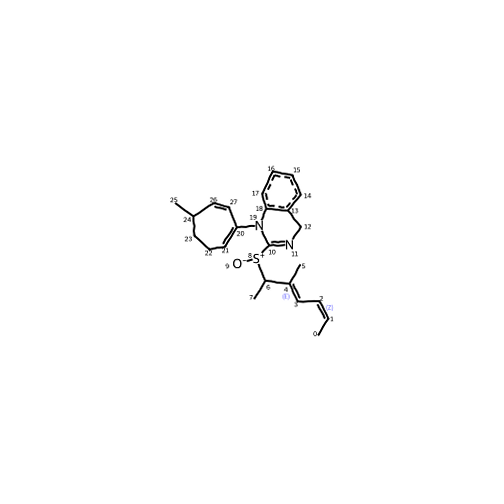 C/C=C\C=C(/C)C(C)[S+]([O-])C1=NCc2ccccc2N1C1=CCCC(C)C=C1